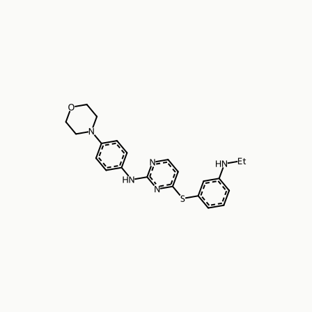 CCNc1cccc(Sc2ccnc(Nc3ccc(N4CCOCC4)cc3)n2)c1